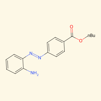 CCCCOC(=O)c1ccc(/N=N/c2ccccc2N)cc1